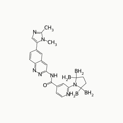 BC1(B)CCC(B)(B)N1c1cc(C(=O)Nc2cc3cc(-c4cnc(C)n4C)ccc3nn2)ccn1